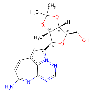 CC1(C)O[C@@H]2[C@@H](CO)O[C@@H](c3cc4c5c(ncnn35)N=C(N)C=C4)[C@]2(C)O1